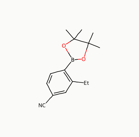 CCc1cc(C#N)ccc1B1OC(C)(C)C(C)(C)O1